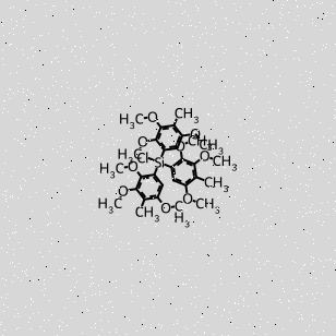 COc1cc([Si](Cl)(c2cc(OC)c(C)c(OC)c2OC)c2cc(OC)c(C)c(OC)c2OC)c(OC)c(OC)c1C